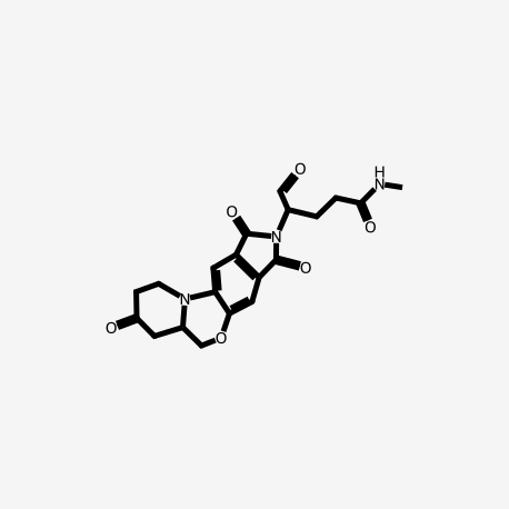 CNC(=O)CCC(C=O)N1C(=O)c2cc3c(cc2C1=O)N1CCC(=O)CC1CO3